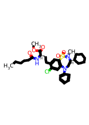 CCCCCC(=O)N[C@@H](CCc1cc2c(cc1Cl)N(c1ccccc1)C[C@@H](C1CCCCC1)N(C)S2(=O)=O)C(=O)OC